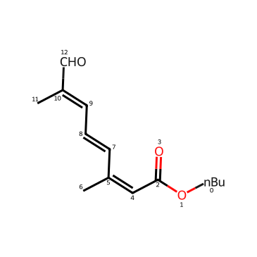 CCCCOC(=O)C=C(C)C=CC=C(C)C=O